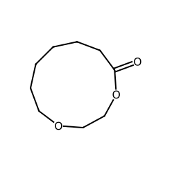 O=C1CCCCCCOCCO1